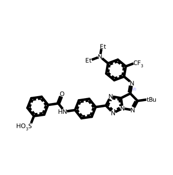 CCN(CC)c1ccc(/N=C2/C(C(C)(C)C)=Nn3nc(-c4ccc(NC(=O)c5cccc(S(=O)(=O)O)c5)cc4)nc32)c(C(F)(F)F)c1